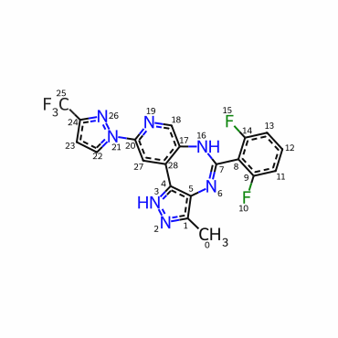 Cc1n[nH]c2c1N=C(c1c(F)cccc1F)Nc1cnc(-n3ccc(C(F)(F)F)n3)cc1-2